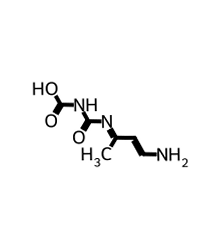 CC(/C=C/N)=N\C(=O)NC(=O)O